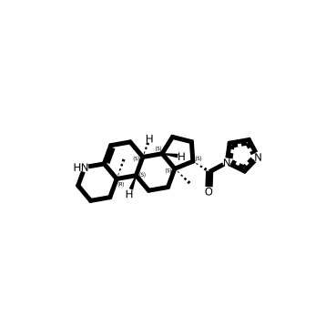 C[C@]12CC[C@H]3[C@@H](CC=C4NCCC[C@@]43C)[C@@H]1CC[C@@H]2C(=O)n1ccnc1